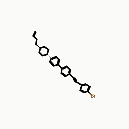 C=CCC[C@H]1CC[C@H](c2ccc(-c3ccc(C#Cc4ccc(Br)cc4)cc3)cc2)CC1